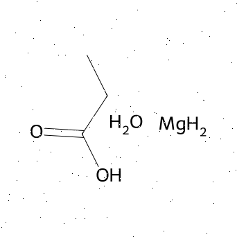 CCC(=O)O.O.[MgH2]